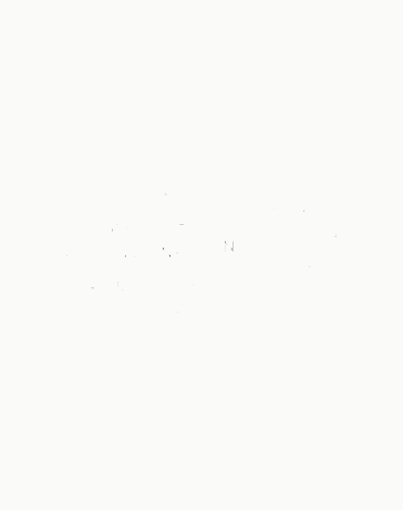 CC(I)OC(=O)N1C(C)CN(c2ccccc2)CC1C